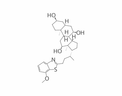 COc1cccc2nc(CCC(C)[C@H]3CC[C@H]4[C@@H]5[C@H](O)C[C@@H]6C[C@H](O)CC[C@]6(C)[C@H]5C[C@H](O)[C@]34C)sc12